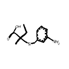 CCC(C)(Sc1cccc(N)c1)C(=O)O